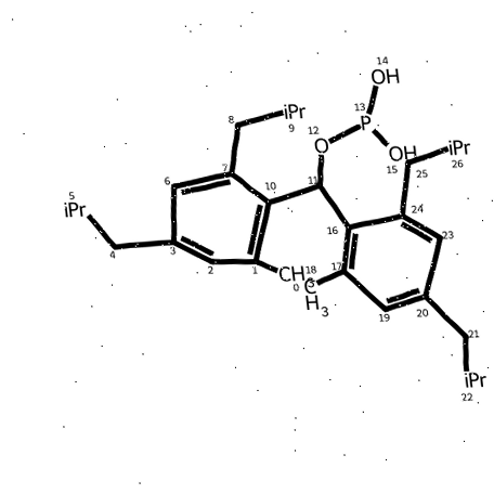 Cc1cc(CC(C)C)cc(CC(C)C)c1C(OP(O)O)c1c(C)cc(CC(C)C)cc1CC(C)C